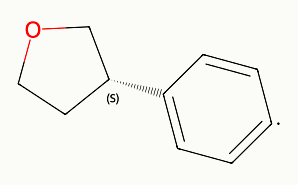 [c]1ccc([C@@H]2CCOC2)cc1